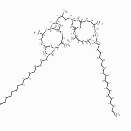 CCCCCCCCCCCCCCCCCCCB1OB2OCC(C)OB3OB(OCC(C)OB(O1)O2)OB(OC(C)COB1OB2OCC(C)OB4OB(OCCCCCCCCCCCCCCCCCC)OB(OCC(C)OB(O2)O1)O4)O3